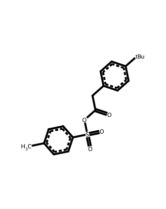 Cc1ccc(S(=O)(=O)OC(=O)Cc2ccc(C(C)(C)C)cc2)cc1